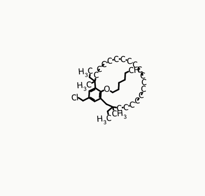 CCCCCCOc1c2cc(CCl)cc1C(C)(CC)CCCCCCCCCCCCCCCCCC(C)(CC)C2